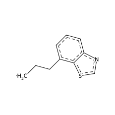 [CH2]CCc1cccc2ncsc12